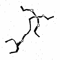 CCO[Si](CCCN=C(CC)CC)(OCC)OCC